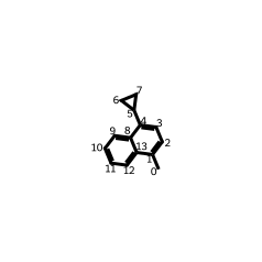 Cc1ccc(C2CC2)c2ccccc12